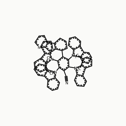 Cc1cccc2c3ccccc3n(-c3c(C#N)c(-n4c5ccccc5c5cccc(C)c54)c(-n4c5ccccc5c5cccc(C)c54)c(-c4cccc5c4sc4ncccc45)c3-n3c4ccccc4c4cccc(C)c43)c12